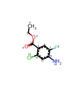 CCOC(=O)c1cc(F)c(N)cc1Cl